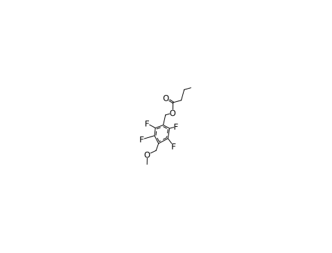 CCCC(=O)OCc1c(F)c(F)c(COC)c(F)c1F